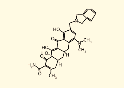 CC1=C(C(N)=O)C(=O)[C@@]2(O)C(O)=C3C(=O)c4c(O)c(CN5Cc6ccccc6C5)cc(N(C)C)c4C[C@H]3C[C@H]2C1